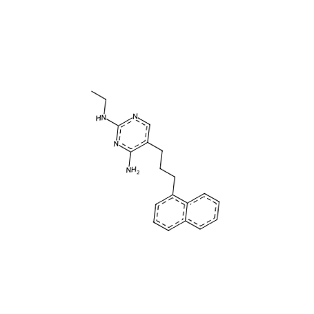 CCNc1ncc(CCCc2cccc3ccccc23)c(N)n1